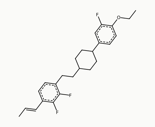 C/C=C/c1ccc(CCC2CCC(c3ccc(OCC)c(F)c3)CC2)c(F)c1F